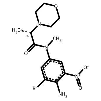 C[C@@H](C(=O)N(C)c1cc(Br)c(N)c([N+](=O)[O-])c1)N1CCOCC1